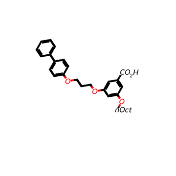 CCCCCCCCOc1cc(OCCCOc2ccc(-c3ccccc3)cc2)cc(C(=O)O)c1